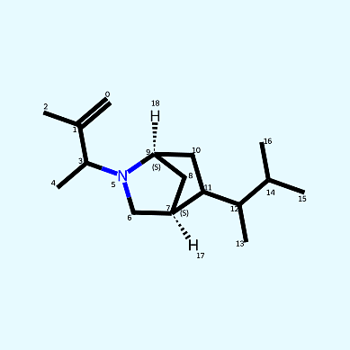 C=C(C)C(C)N1C[C@H]2C[C@@H]1CC2C(C)C(C)C